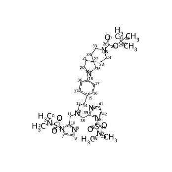 CN(C)S(=O)(=O)n1ccnc1CN(CCc1ccc(N2CCC3(CCN(C(=O)OC(C)(C)C)CC3)C2)cc1)Cc1nccn1S(=O)(=O)N(C)C